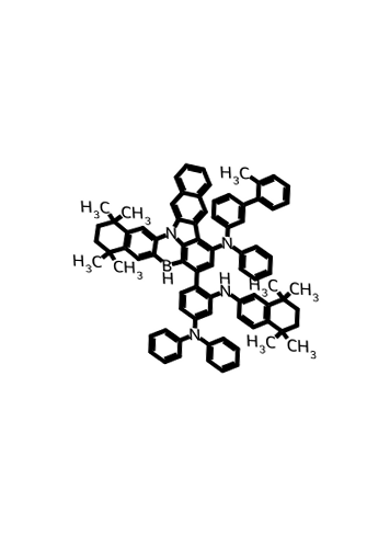 Cc1ccccc1-c1cccc(N(c2ccccc2)c2cc(-c3ccc(N(c4ccccc4)c4ccccc4)cc3Nc3ccc4c(c3)C(C)(C)CCC4(C)C)c3c4c2c2cc5ccccc5cc2n4-c2cc4c(cc2B3)C(C)(C)CCC4(C)C)c1